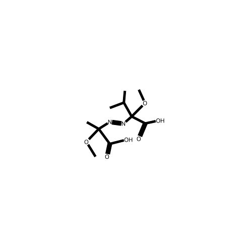 COC(C)(N=NC(OC)(C(=O)O)C(C)C)C(=O)O